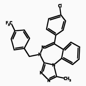 Cc1nnc2n1-c1ccccc1C(c1ccc(Cl)cc1)=NN2Cc1ccc(C(F)(F)F)cc1